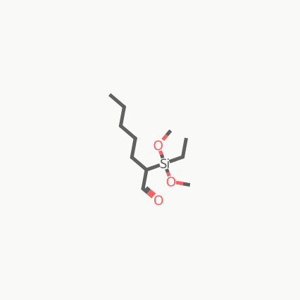 CCCCCC(C=O)[Si](CC)(OC)OC